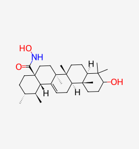 C[C@H]1[C@H](C)CC[C@]2(C(=O)NO)CC[C@]3(C)C(=CC[C@@H]4[C@@]5(C)CCC(O)C(C)(C)[C@@H]5CC[C@]43C)[C@H]12